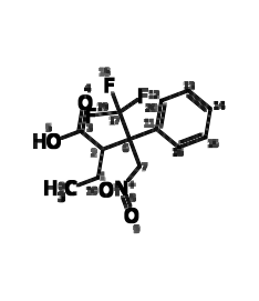 CCC(C(=O)O)C(C[N+](=O)[O-])(c1ccccc1)C(F)(F)F